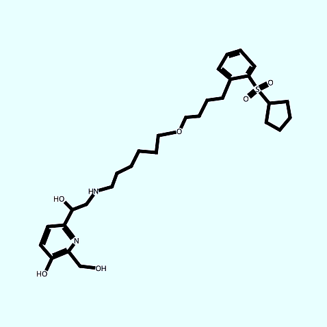 O=S(=O)(c1ccccc1CCCCOCCCCCCNCC(O)c1ccc(O)c(CO)n1)C1CCCC1